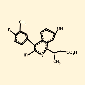 Cc1cc(-c2c(C(C)C)nc([C@H](C)CC(=O)O)c3cc(O)ccc23)ccc1F